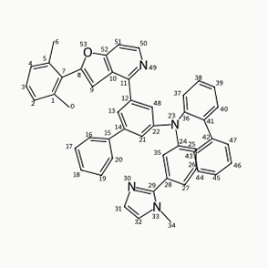 Cc1cccc(C)c1-c1cc2c(-c3cc(-c4ccccc4)cc(N(c4cccc(-c5nccn5C)c4)c4ccccc4-c4ccccc4)c3)nccc2o1